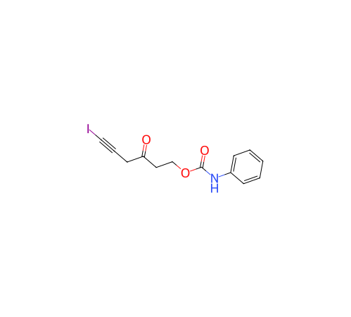 O=C(CC#CI)CCOC(=O)Nc1ccccc1